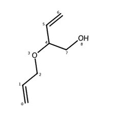 C=CCOC(C=C)CO